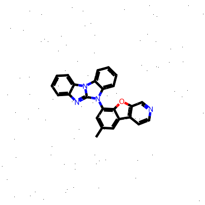 Cc1cc(-n2c3ccccc3n3c4ccccc4nc23)c2oc3cnccc3c2c1